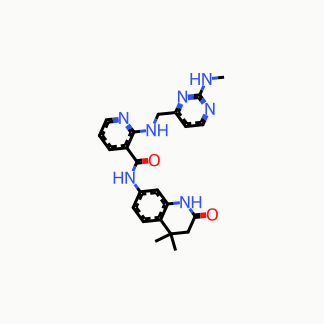 CNc1nccc(CNc2ncccc2C(=O)Nc2ccc3c(c2)NC(=O)CC3(C)C)n1